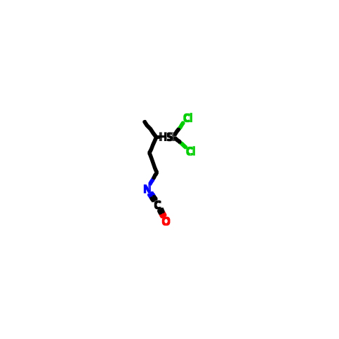 CC(CCN=C=O)[SiH](Cl)Cl